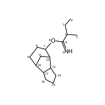 CCC(C)C(=N)OC1CCC2CC1C1CCCC21